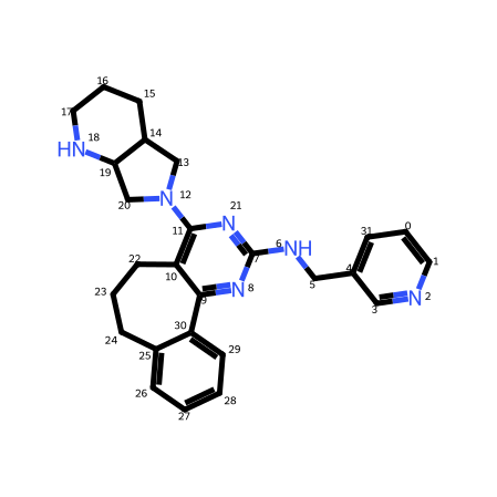 c1cncc(CNc2nc3c(c(N4CC5CCCNC5C4)n2)CCCc2ccccc2-3)c1